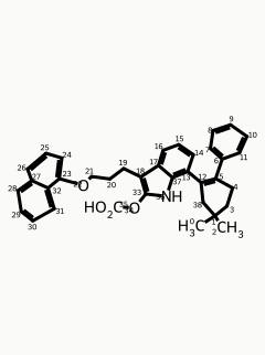 CC1(C)CCC(c2ccccc2)=C(c2cccc3c(CCCOc4cccc5ccccc45)c(OC(=O)O)[nH]c23)C1